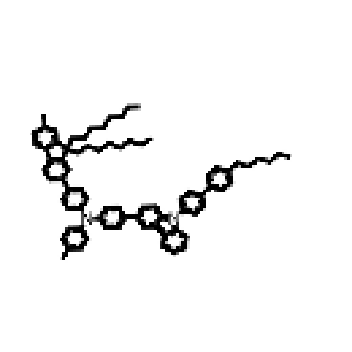 CCCCCCCCC1(CCCCCCCC)c2cc(C)ccc2-c2ccc(-c3ccc(N(c4ccc(C)cc4)c4ccc(-c5ccc6c(c5)c5ccccc5n6-c5ccc(-c6ccc(CCCCCC)cc6)cc5)cc4)cc3)cc21